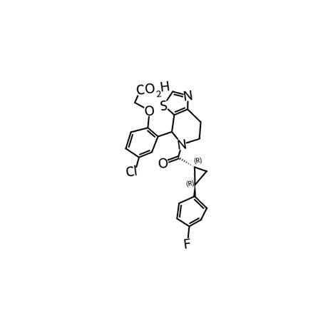 O=C(O)COc1ccc(Cl)cc1C1c2scnc2CCN1C(=O)[C@@H]1C[C@H]1c1ccc(F)cc1